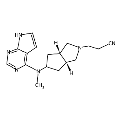 CN(c1ncnc2[nH]ccc12)C1C[C@@H]2CN(CCC#N)C[C@@H]2C1